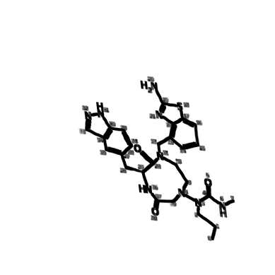 CCCN(C(=O)NC)N1CCN(Cc2cccc3sc(N)nc23)C(=O)[C@H](Cc2ccc3[nH]ncc3c2)NC(=O)C1